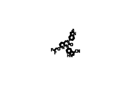 Cn1cc2cc(N3Cc4ccc(OCC(F)F)nc4N(c4ccc5[nH]cc(C#N)c5c4)C3=O)ccc2n1